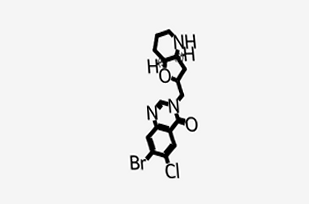 O=c1c2cc(Cl)c(Br)cc2ncn1CC1C[C@@H]2NCCC[C@@H]2O1